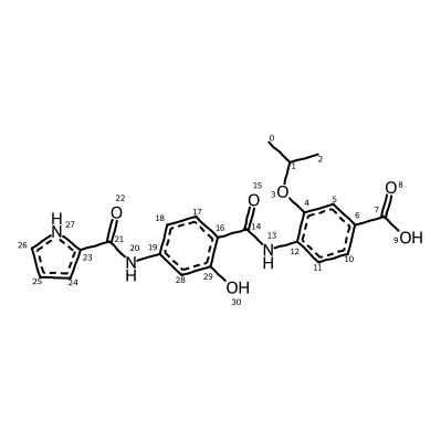 CC(C)Oc1cc(C(=O)O)ccc1NC(=O)c1ccc(NC(=O)c2ccc[nH]2)cc1O